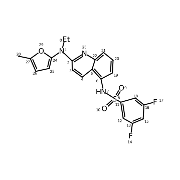 CCN(c1ccc2c(NS(=O)(=O)c3cc(F)cc(F)c3)cccc2n1)c1ccc(C)o1